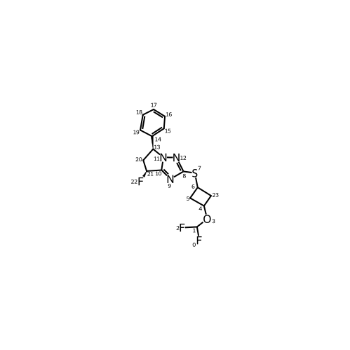 FC(F)OC1CC(Sc2nc3n(n2)[C@H](c2ccccc2)C[C@@H]3F)C1